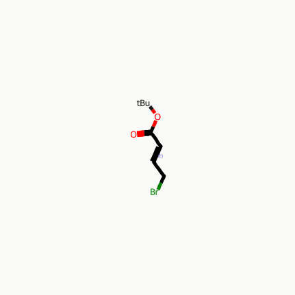 CC(C)(C)OC(=O)/C=C/CBr